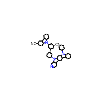 N#Cc1cc(-c2cccc(-n3c4cnccc4c4cc5c6ccccc6n(-c6ccccc6)c5cc43)c2)cc(-n2c3ccccc3c3cc(C#N)ccc32)c1